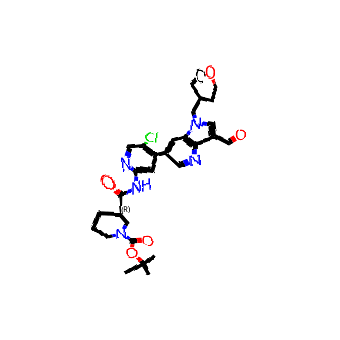 CC(C)(C)OC(=O)N1CCC[C@@H](C(=O)Nc2cc(-c3cnc4c(C=O)cn(CC5CCOCC5)c4c3)c(Cl)cn2)C1